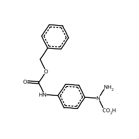 NN(C(=O)O)c1ccc(NC(=O)OCc2ccccc2)cc1